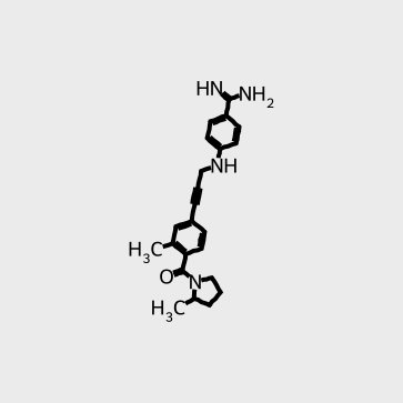 Cc1cc(C#CCNc2ccc(C(=N)N)cc2)ccc1C(=O)N1CCCC1C